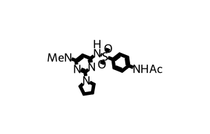 CNc1cc(NS(=O)(=O)c2ccc(NC(C)=O)cc2)nc(N2CCCC2)n1